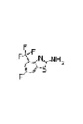 Nc1nc2c(C(F)(F)F)cc(F)cc2s1